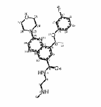 CNCCNC(=O)c1cc([C@@H](C)Oc2cccc(F)c2)c2nc(N3CCOCC3)cnc2c1